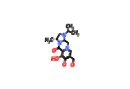 CC(C)N1C[C@@H](C)N2C(=O)c3c(O)c(=O)c(C=O)cn3CC12